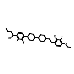 CCCC(O)c1ccc(C2CCC(C3CCC(CCc4ccc(OCC)c(F)c4F)CC3)CC2)c(F)c1F